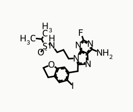 CC(C)[S+]([O-])NCCCn1c(Cc2cc3c(cc2I)CCO3)nc2c(N)nc(F)nc21